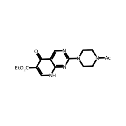 CCOC(=O)c1c[nH]c2nc(N3CCN(C(C)=O)CC3)ncc2c1=O